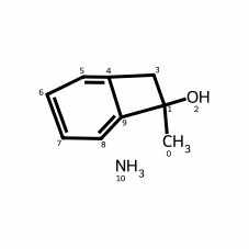 CC1(O)Cc2ccccc21.N